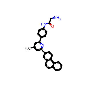 NCC(=O)Nc1ccc(-c2cc(C(F)(F)F)cc(-c3ccc4c(ccc5ccccc54)c3)n2)cc1